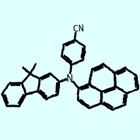 CC1(C)c2ccccc2-c2ccc(N(c3ccc(C#N)cc3)c3ccc4ccc5cccc6ccc3c4c56)cc21